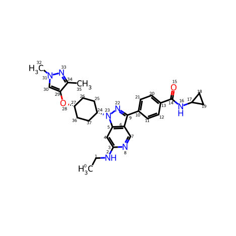 CCNc1cc2c(cn1)c(-c1ccc(C(=O)NC3CC3)cc1)nn2[C@H]1CC[C@@H](Oc2cn(C)nc2C)CC1